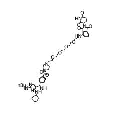 CCCCNc1ncc(C(=N)c2ccc(S(=O)(=O)N3CCN(CCOCCOCCOCCOCCNc4cccc5c4C(=O)N(C4CCC(=O)NC4=O)C5=O)CC3)cc2)c(NC2CCCCC2)n1